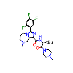 CN1CCN(C(=O)C(NC(=O)c2nc(-c3cc(F)c(F)cc3F)n3c2CN(C)CCC3)C(C)(C)C)CC1